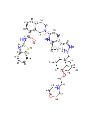 CC1CC2(Cn3cc(-c4ccc(N5CCc6cccc(C(=O)Nc7nc8ccccc8s7)c6C5)nc4C(=O)O)cn3)CC(C)CC(OCCN3CCOCC3)(C1)C2